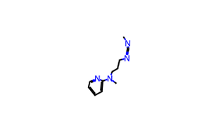 CN=C=NCCCN(C)c1ccccn1